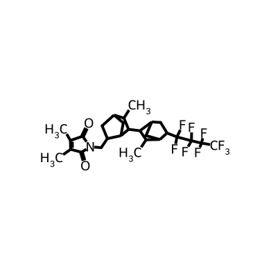 CC1=C(C)C(=O)N(CC2CC3CC2C(C2C4CC(C2C)C(C(F)(F)C(F)(F)C(F)(F)C(F)(F)F)C4)C3C)C1=O